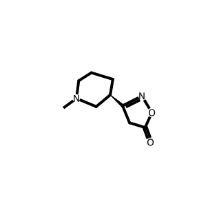 CN1CCC[C@@H](C2=NOC(=O)C2)C1